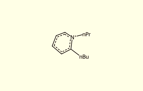 CCCCc1cccc[n+]1CCC